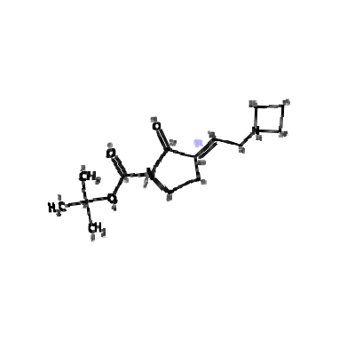 CC(C)(C)OC(=O)N1CC/C(=C\CN2CCC2)C1=O